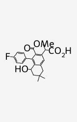 COC(=O)c1c(C(C)C(=O)O)cc2c(c1-c1ccc(F)cc1)C(O)CC(C)(C)C2